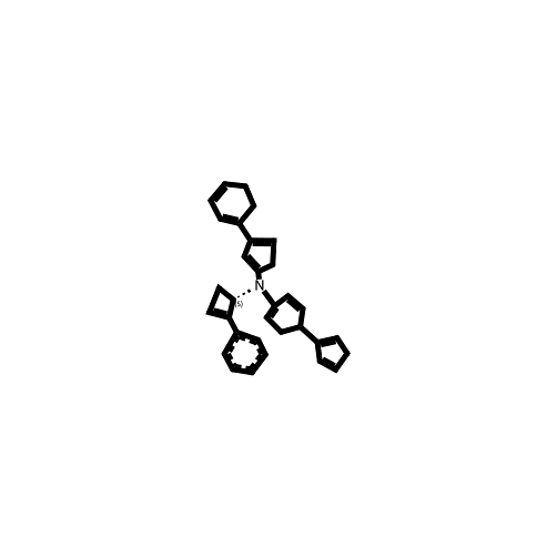 C1=CCCC(C2=CCC(N(C3=CCC(C4=CCC=C4)C=C3)[C@H]3CC=C3c3ccccc3)=C2)=C1